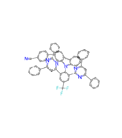 N#Cc1ccc(-c2ccc3c4ccccc4n(-c4c(-c5cc(-c6ccccc6)nc(-c6ccccc6)n5)cc(C(F)(F)F)cc4-c4nc(-c5ccccc5)cc(-c5ccccc5)n4)c3c2)cc1